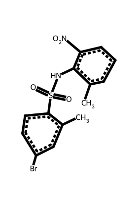 Cc1cc(Br)ccc1S(=O)(=O)Nc1c(C)cccc1[N+](=O)[O-]